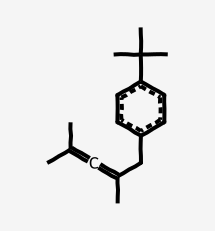 CC(C)=C=C(C)Cc1ccc(C(C)(C)C)cc1